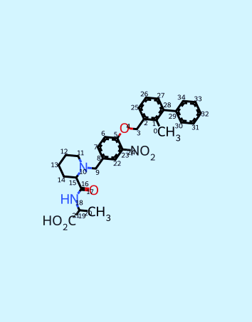 Cc1c(COc2ccc(CN3CCCCC3C(=O)NC(C)C(=O)O)cc2[N+](=O)[O-])cccc1-c1ccccc1